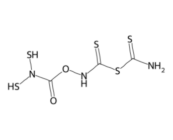 NC(=S)SC(=S)NOC(=O)N(S)S